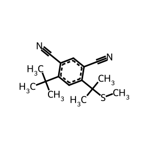 CSC(C)(C)c1cc(C(C)(C)C)c(C#N)cc1C#N